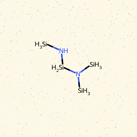 [SiH3]N[SiH2]N([SiH3])[SiH3]